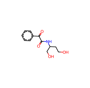 O=C(NC(CO)CCO)C(=O)c1ccccc1